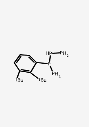 CC(C)(C)c1cccc(P(P)PP)c1C(C)(C)C